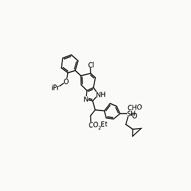 CCOC(=O)CC(c1ccc([SH](=O)(C=O)CC2CC2)cc1)c1nc2cc(-c3ccccc3OC(C)C)c(Cl)cc2[nH]1